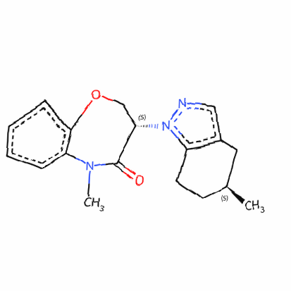 C[C@H]1CCc2c(cnn2[C@H]2COc3ccccc3N(C)C2=O)C1